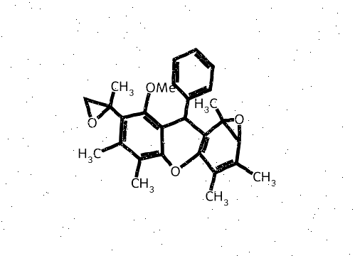 COc1c2c(c(C)c(C)c1C1(C)CO1)OC1=C(C2c2ccccc2)C2(C)OC2C(C)=C1C